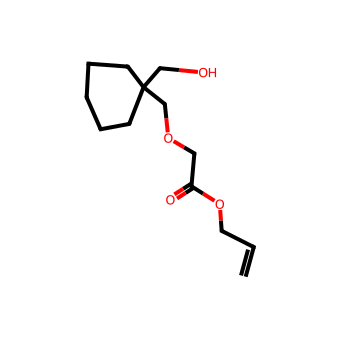 C=CCOC(=O)COCC1(CO)CCCCC1